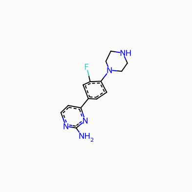 Nc1nccc(-c2ccc(N3CCNCC3)c(F)c2)n1